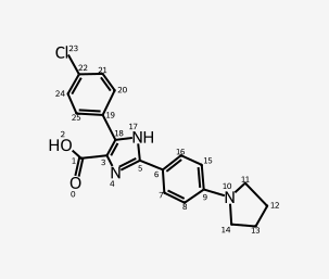 O=C(O)c1nc(-c2ccc(N3CCCC3)cc2)[nH]c1-c1ccc(Cl)cc1